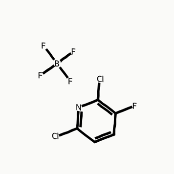 F[B-](F)(F)F.Fc1ccc(Cl)nc1Cl